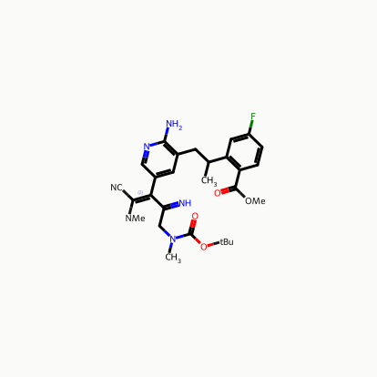 CN/C(C#N)=C(\C(=N)CN(C)C(=O)OC(C)(C)C)c1cnc(N)c(CC(C)c2cc(F)ccc2C(=O)OC)c1